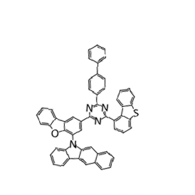 c1ccc(-c2ccc(-c3nc(-c4cc(-n5c6ccccc6c6cc7ccccc7cc65)c5oc6ccccc6c5c4)nc(-c4cccc5sc6ccccc6c45)n3)cc2)cc1